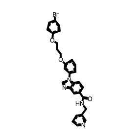 O=C(NCc1cccnc1)c1ccc2c(c1)ncn2-c1cccc(OCCCOc2ccc(Br)cc2)c1